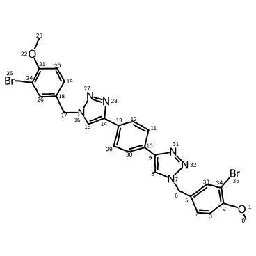 COc1ccc(Cn2cc(-c3ccc(-c4cn(Cc5ccc(OC)c(Br)c5)nn4)cc3)nn2)cc1Br